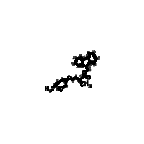 CC#CCC(CO)OCCN(C)C(=O)OCC1c2ccccc2-c2ccccc21